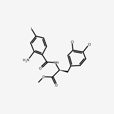 COC(=O)[C@H](Cc1ccc(Cl)c(Cl)c1)NC(=O)c1ccc(I)cc1N